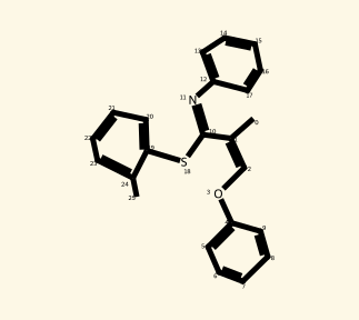 CC(=COc1ccccc1)C(=Nc1ccccc1)Sc1ccccc1C